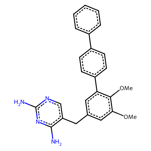 COc1cc(Cc2cnc(N)nc2N)cc(-c2ccc(-c3ccccc3)cc2)c1OC